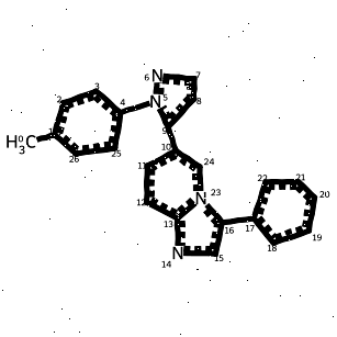 Cc1ccc(-n2nccc2-c2ccc3ncc(-c4ccccc4)n3c2)cc1